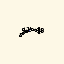 [2H]/C(=C(/[2H])c1ccc(N(c2ccccc2)c2ccc3c(c2)C(C)(C)c2ccccc2-3)cc1)c1ccc(-c2ccc(-c3c4ccccc4c(-c4cccc5ccccc45)c4ccccc34)cc2)cc1